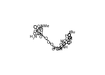 CN[C@@H](C)C(=O)N[C@H](C(=O)N1C[C@@H](NC(=O)CCOCCOCCOCCC(=O)N2CCn3nc(Nc4cc(-c5ccnc(-n6ncc7cc(C(C)(C)C)cc(F)c7c6=O)c5CO)cn(C)c4=O)cc3C2)C[C@H]1C(N)=O)C1CCCCC1